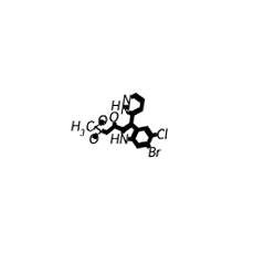 CS(=O)(=O)CC(O)c1[nH]c2cc(Br)c(Cl)cc2c1-c1cccnn1